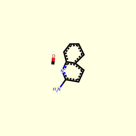 C=O.Nc1ccc2ccccc2n1